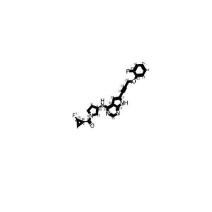 O=C([C@H]1C[C@H]1F)N1CC[C@@H](Nc2ncnc3[nH]c(C#CCOc4ccccc4F)cc23)C1